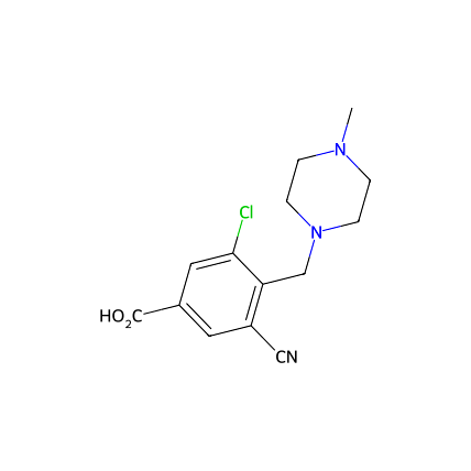 CN1CCN(Cc2c(Cl)cc(C(=O)O)cc2C#N)CC1